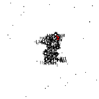 CC(O)[C@H](NC(=O)[C@H](Cc1ccccc1)NC(=O)[C@@H](NC(=O)[C@H](CCCCN)NC(=O)[C@@H](Cc1c[nH]c2ccccc12)NC(=O)[C@H](Cc1ccccc1)NC(=O)[C@H](Cc1ccccc1)NC(=O)[C@H](Cc1ccc(O)cc1)NC(=O)[C@H](CCCNC(=N)N)NC(=O)[C@@H](N)CS)C(C)O)C(=O)N[C@@H](CO)C(=O)N[C@@H](CS)C(=O)O